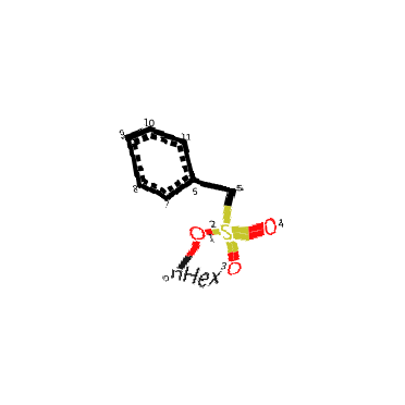 CCCCCCOS(=O)(=O)Cc1ccccc1